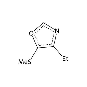 CCc1ncoc1SC